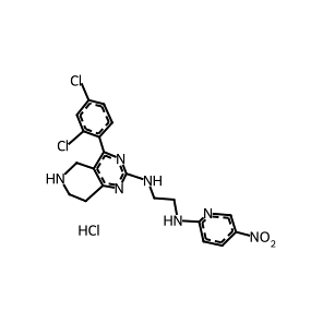 Cl.O=[N+]([O-])c1ccc(NCCNc2nc3c(c(-c4ccc(Cl)cc4Cl)n2)CNCC3)nc1